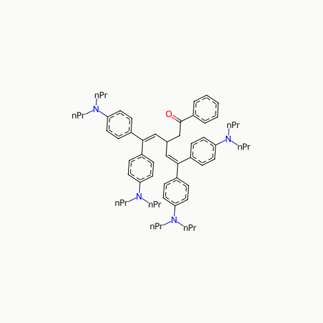 CCCN(CCC)c1ccc(C(=CC(C=C(c2ccc(N(CCC)CCC)cc2)c2ccc(N(CCC)CCC)cc2)CC(=O)c2ccccc2)c2ccc(N(CCC)CCC)cc2)cc1